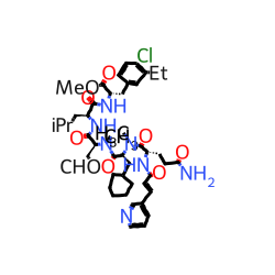 CCc1cc(C[C@H](NC(=O)[C@H](CC(C)C)NC(=O)[C@H](CC=O)N(C)C(=O)[C@H](CC2CCCCC2)N(C)C(=O)[C@H](CCC(N)=O)NC(=O)/C=C/c2cccnc2)C(=O)OC)ccc1Cl